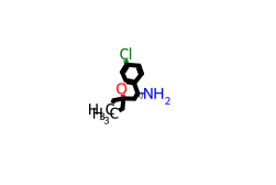 CCC1(CC)C[C@@H](N)c2ccc(Cl)cc2O1